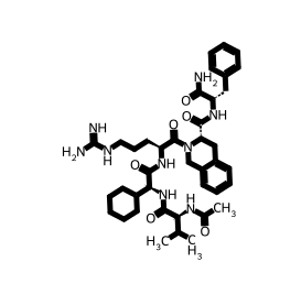 CC(=O)N[C@H](C(=O)N[C@H](C(=O)N[C@@H](CCCNC(=N)N)C(=O)N1Cc2ccccc2C[C@H]1C(=O)N[C@@H](Cc1ccccc1)C(N)=O)C1CCCCC1)C(C)C